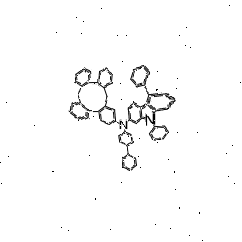 c1ccc(-c2ccc(N(c3ccc4c(c3)Cc3ccccc3-c3ccccc3Cc3ccccc3-4)c3ccc4c5c(-c6ccccc6)cccc5n(-c5ccccc5)c4c3)cc2)cc1